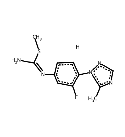 CSC(N)=Nc1ccc(-n2ncnc2C)c(F)c1.I